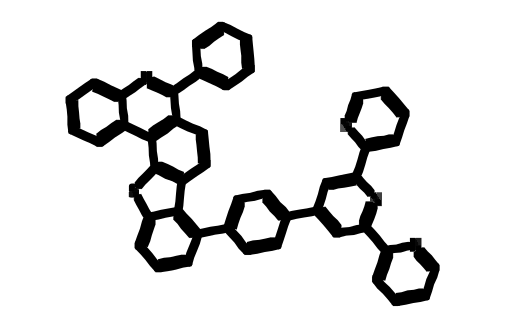 c1ccc(-c2nc3ccccc3c3c2ccc2c3sc3cccc(-c4ccc(-c5cc(-c6ccccn6)nc(-c6ccccn6)c5)cc4)c32)cc1